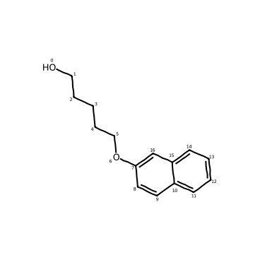 OCCCCCOc1ccc2ccccc2c1